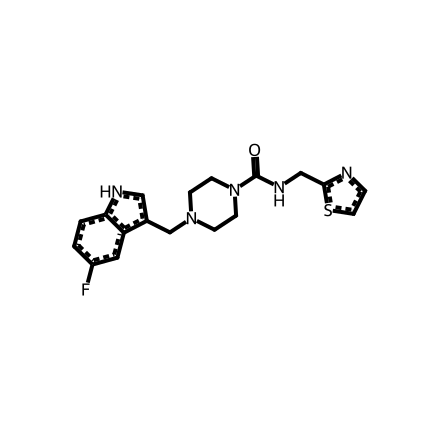 O=C(NCc1nccs1)N1CCN(Cc2c[nH]c3ccc(F)cc23)CC1